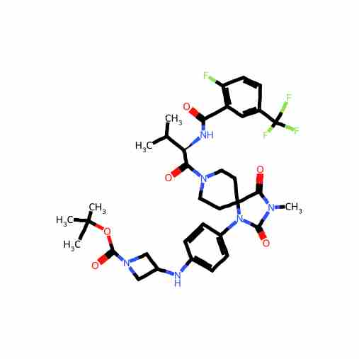 CC(C)[C@@H](NC(=O)c1cc(C(F)(F)F)ccc1F)C(=O)N1CCC2(CC1)C(=O)N(C)C(=O)N2c1ccc(NC2CN(C(=O)OC(C)(C)C)C2)cc1